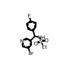 CCS(=O)(=O)NC(c1ccc(F)cc1)c1cncc(Br)c1